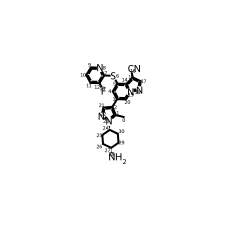 Cc1c(-c2cc(Sc3ncccc3F)c3c(C#N)cnn3c2)cnn1[C@H]1CC[C@@H](N)CC1